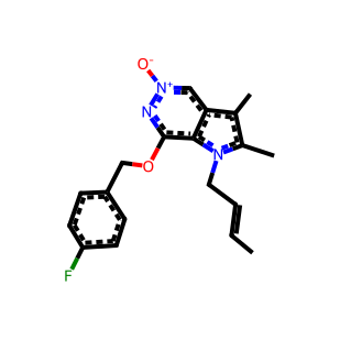 CC=CCn1c(C)c(C)c2c[n+]([O-])nc(OCc3ccc(F)cc3)c21